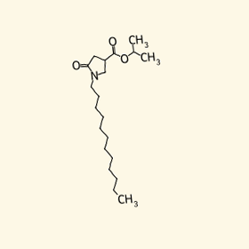 CCCCCCCCCCCCN1CC(C(=O)OC(C)C)CC1=O